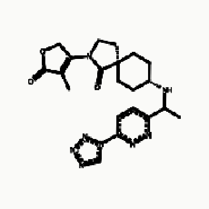 CC1=C(N2CC[C@]3(CC[C@@H](NC(C)c4ccc(-n5cnnn5)nn4)CC3)C2=O)COC1=O